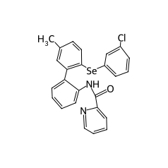 Cc1ccc([Se]c2cccc(Cl)c2)c(-c2ccccc2NC(=O)c2ccccn2)c1